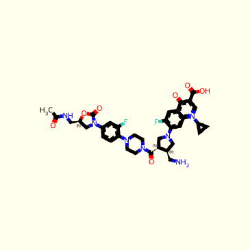 CC(=O)NC[C@@H]1CN(c2ccc(N3CCN(C(=O)[C@@H]4CN(c5cc6c(cc5F)c(=O)c(C(=O)O)cn6C5CC5)C[C@H]4CN)CC3)c(F)c2)C(=O)O1